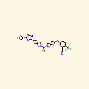 N#Cc1cc(CC2CC3(C2)CN(C(=O)N2CC4(CC(c5nc(C6COC6)n[nH]5)C4)C2)C3)ccc1C(F)(F)F